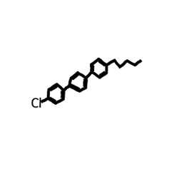 CCCCCc1ccc(-c2ccc(-c3ccc(Cl)cc3)cc2)cc1